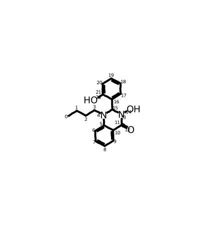 CCCCN1c2ccccc2C(=O)N(O)C1c1ccccc1O